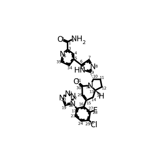 NC(=O)c1cc(-c2cnc([C@@H]3CC[C@@H]4CC(c5c(-n6cnnn6)ccc(Cl)c5F)=CC(=O)N43)[nH]2)ccn1